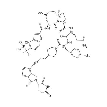 CC(=O)N1CC[C@H]2CC[C@@H](C(=O)N[C@@H](CCC(N)=O)C(=O)N[C@@H](Cc3ccc(C(C)(C)C)cc3)C(=O)N3CCC(CCC#Cc4cccc5c4CN(C4CCC(=O)NC4=O)C5=O)CC3)N2C(=O)[C@@H](NC(=O)c2cc3cc(C(F)(F)P(=O)(O)O)ccc3s2)C1